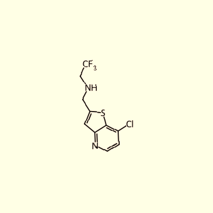 FC(F)(F)CNCc1cc2nccc(Cl)c2s1